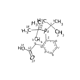 CC(C)(C)P(c1ccccc1CC(=O)O)C(C)(C)C